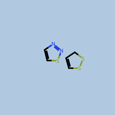 C1=CSSC1.c1csnn1